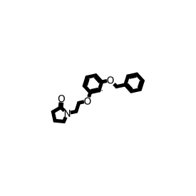 O=C1CCCN1CCOc1[c]c(OCc2ccccc2)ccc1